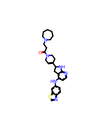 O=C(CCN1CCCCCC1)N1CC=C(C2Cc3c(Nc4ccc5ncsc5c4)ccnc3N2)CC1